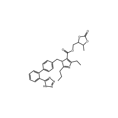 CCCc1nc(CC)c(C(=O)OCC2OC(=O)OC2C)n1Cc1ccc(-c2ccccc2-c2nnn[nH]2)cc1